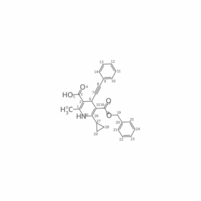 CC1=C(C(=O)O)C(C#Cc2ccccc2)C(C(=O)OCc2ccccc2)=C(C2CC2)N1